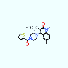 CCOC(=O)c1c(N2CCN(C(=O)C3=CCCS3)CC2)c2cc(C)ccc2n(C)c1=O